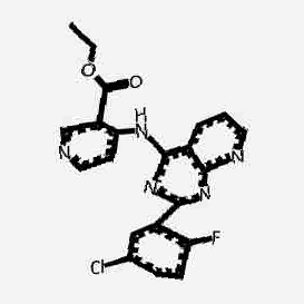 CCOC(=O)c1cnccc1Nc1nc(-c2cc(Cl)ccc2F)nc2ncccc12